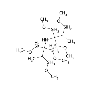 CO[SiH2]C(C)C(NC([SiH2]OC)([SiH2]OC)C(C)[SiH2]OC)([SiH2]OC)[SiH2]OC